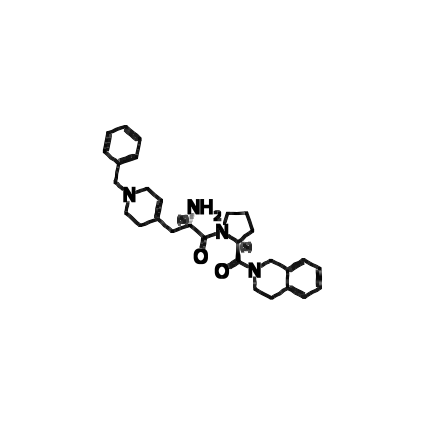 N[C@@H](CC1=CCN(Cc2ccccc2)CC1)C(=O)N1CCC[C@H]1C(=O)N1CCc2ccccc2C1